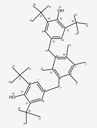 Cc1c(C)c(Cc2cc(C(C)(C)C)c(O)c(C(C)(C)C)c2)c(C)c(Cc2cc(C(C)(C)C)c(O)c(C(C)(C)C)c2)c1C